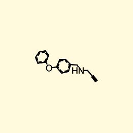 C#CCNCc1ccc(Oc2ccccc2)cc1